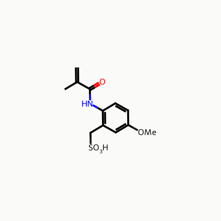 C=C(C)C(=O)Nc1ccc(OC)cc1CS(=O)(=O)O